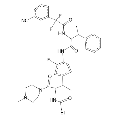 CCC(=O)NC(C(=O)N1CCN(C)CC1)C(C)c1ccc(NC(=O)C(NC(=O)C(F)(F)c2cccc(C#N)c2)C(C)c2ccccc2)c(F)c1